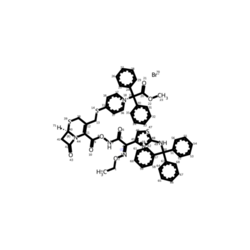 CCO/N=C(\C(=O)NOC(=O)C1=C(CSc2cc[n+](C(C(=O)OC)(c3ccccc3)c3ccccc3)cc2)CS[C@@H]2CC(=O)N12)c1csc(NC(c2ccccc2)(c2ccccc2)c2ccccc2)n1.[Br-]